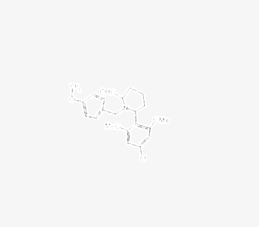 COc1cc(Cl)cc(OC)c1C1CCCC(C=O)N1Cc1ccc(OC(F)(F)F)cc1